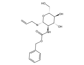 C=CC[N][C@@H]1O[C@H](CO)[C@@H](O)[C@H](O)[C@H]1NC(=O)OCc1ccccc1